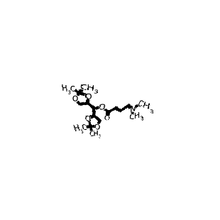 CN(C)CCCC(=O)OC(C1COC(C)(C)O1)C1COC(C)(C)O1